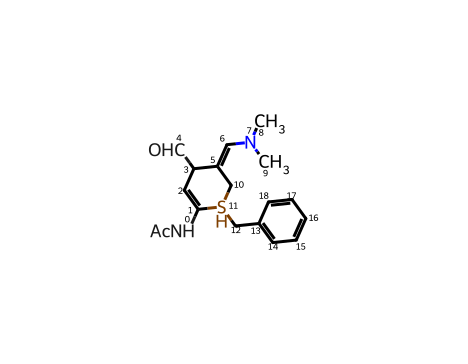 CC(=O)NC1=CC(C=O)C(=CN(C)C)C[SH]1Cc1ccccc1